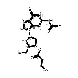 CC(=O)CCC(=O)O[C@H]1C[C@H](n2cnc3c(=O)[nH]c(NC(=O)C(C)C)nc32)O[C@@H]1CO